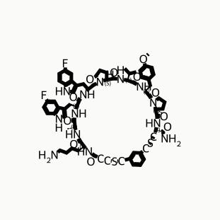 COc1ccc(C[C@@H]2NC(=O)[C@H](C(C)C)NC(=O)[C@@H]3CCCN3C(=O)C(Cc3c[nH]c4ccc(F)cc34)NC(=O)[C@H](Cc3c[nH]c4ccc(F)cc34)NC(=O)[C@@H](C)NC(=O)[C@H](CCCCN)NC(=O)CCSCc3cccc(c3)CSC[C@@H](C(N)=O)NC(=O)[C@]3(C)CCCN3C2=O)cc1